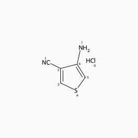 Cl.N#Cc1cscc1N